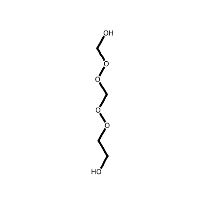 OCCOOCOOCO